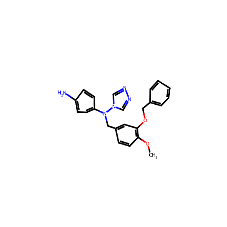 COc1ccc(CN(c2ccc(N)cc2)n2cnnc2)cc1OCc1ccccc1